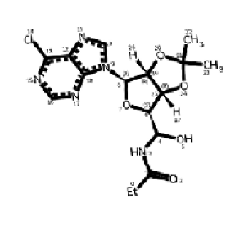 CCC(=O)NC(O)[C@H]1O[C@@H](n2cnc3c(Cl)ncnc32)[C@@H]2OC(C)(C)O[C@@H]21